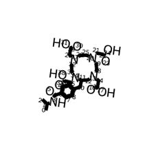 CC(C)NC(=O)c1ccc(CC2CN(CC(=O)O)CCN(CC(=O)O)CCN(CC(=O)O)CCN2CC(=O)O)cc1